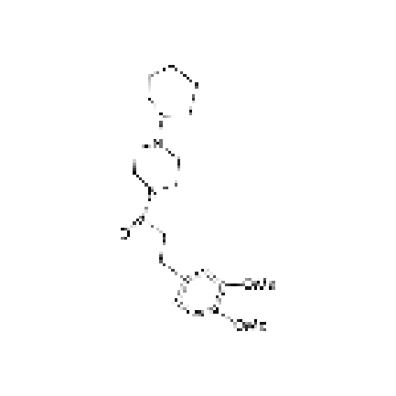 COc1ccc(CCC(=O)N2CCN(C3CCCCC3)CC2)cc1OC